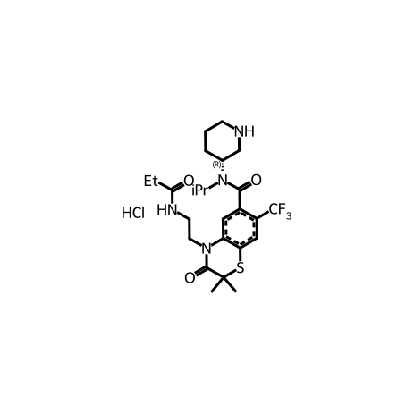 CCC(=O)NCCN1C(=O)C(C)(C)Sc2cc(C(F)(F)F)c(C(=O)N(C(C)C)[C@@H]3CCCNC3)cc21.Cl